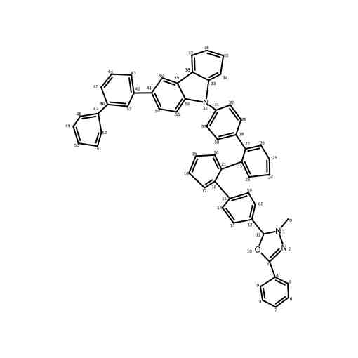 CN1N=C(c2ccccc2)OC1c1ccc(-c2ccccc2-c2ccccc2-c2ccc(-n3c4ccccc4c4cc(-c5cccc(-c6ccccc6)c5)ccc43)cc2)cc1